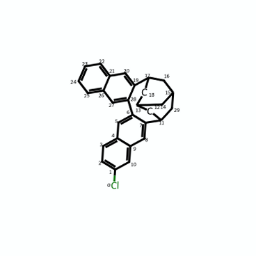 Clc1ccc2cc3c(cc2c1)C1CC2CC(CC(C2)c2cc4ccccc4cc2-3)C1